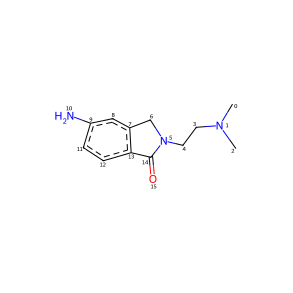 CN(C)CCN1Cc2cc(N)ccc2C1=O